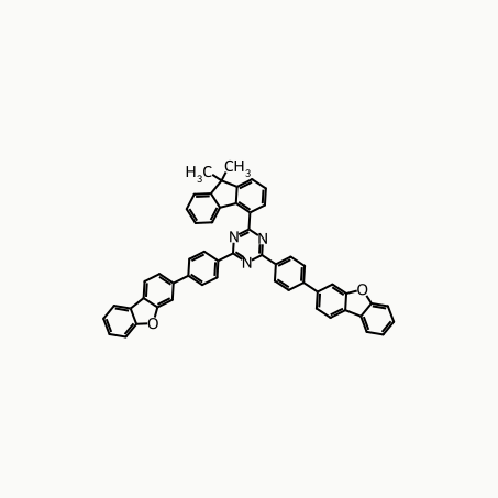 CC1(C)c2ccccc2-c2c(-c3nc(-c4ccc(-c5ccc6c(c5)oc5ccccc56)cc4)nc(-c4ccc(-c5ccc6c(c5)oc5ccccc56)cc4)n3)cccc21